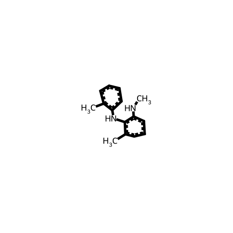 CNc1cccc(C)c1Nc1ccccc1C